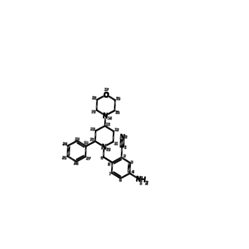 N#Cc1cc(N)ccc1CN1CCC(N2CCOCC2)CC1c1ccccc1